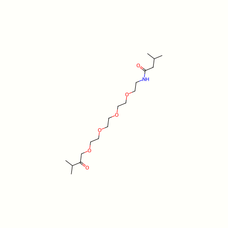 CC(C)CC(=O)NCCOCCOCCOCCOCC(=O)C(C)C